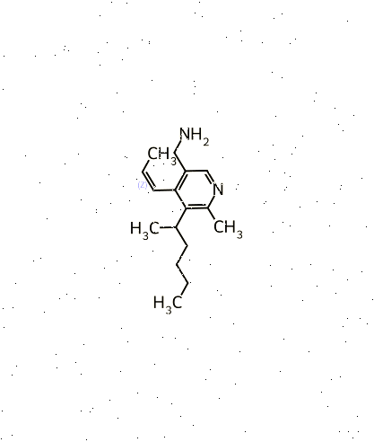 C/C=C\c1c(CN)cnc(C)c1C(C)CCCC